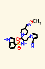 CON=CC1CCN(C(=O)C(CCn2cccc2C#N)NS(=O)(=O)c2cccc3[nH]ccc23)CC1